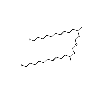 CC(CCC=CCCCCCCI)OCOCOC(C)CCC=CCCCCCCI